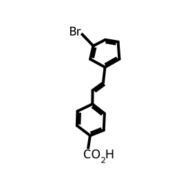 O=C(O)c1ccc(C=Cc2cccc(Br)c2)cc1